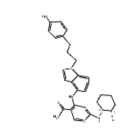 C[C@H]1CCCC[C@H]1Nc1ncc(C(N)=O)c(Nc2cccc3c2ccn3CCCc2ccc(O)cc2)n1